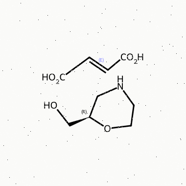 O=C(O)/C=C/C(=O)O.OC[C@H]1CNCCO1